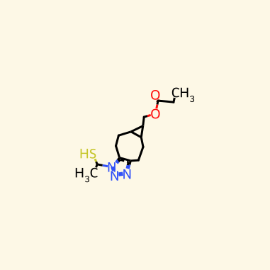 CCC(=O)OCC1C2CCc3nnn(C(C)S)c3CCC21